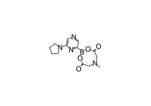 CN1CC(=O)OB(c2cncc(N3CCCC3)n2)OC(=O)C1